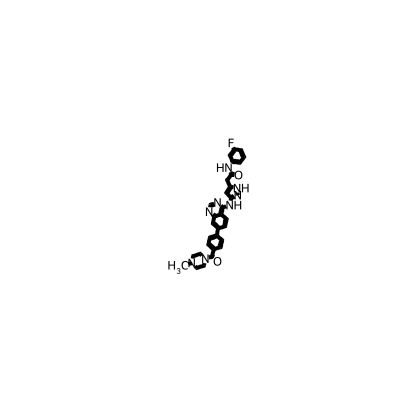 CN1CCN(C(=O)c2ccc(-c3ccc4c(Nc5cc(CC(=O)Nc6cccc(F)c6)[nH]n5)ncnc4c3)cc2)CC1